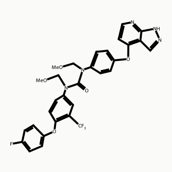 COCN(C(=O)N(COC)c1ccc(Oc2ccc(F)cc2)c(C(F)(F)F)c1)c1ccc(Oc2ccnc3[nH]ncc23)cc1